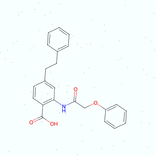 O=C(COc1ccccc1)Nc1cc(CCc2ccccc2)ccc1C(=O)O